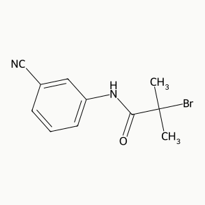 CC(C)(Br)C(=O)Nc1cccc(C#N)c1